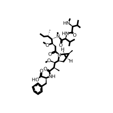 CC[C@H](C)[C@@H]([C@@H](CC(=O)N1[C@H]2[C@@H](C)[C@H]2C[C@H]1[C@H](OC)[C@@H](C)C(=O)N[C@@H](Cc1ccccc1)C(=O)O)OC)N(C)C(=O)[C@@H](NC(=O)[C@@H](NC)C(C)C)C(C)C